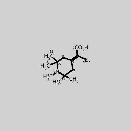 CCC(C(=O)O)=C1CC(C)(C)N(C)C(C)(C)C1